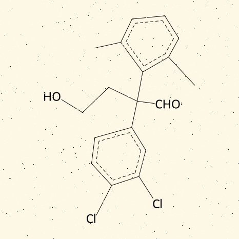 Cc1cccc(C)c1C([C]=O)(CCO)c1ccc(Cl)c(Cl)c1